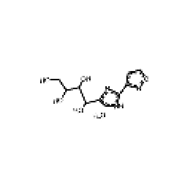 O.OCC(O)C(O)C(O)c1c[nH]c(-c2ccon2)n1